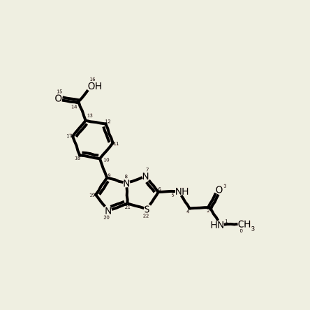 CNC(=O)CNc1nn2c(-c3ccc(C(=O)O)cc3)cnc2s1